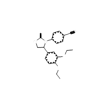 CCOc1ccc(C2CNC(=O)N2c2ccc(C#N)cc2)cc1OCC